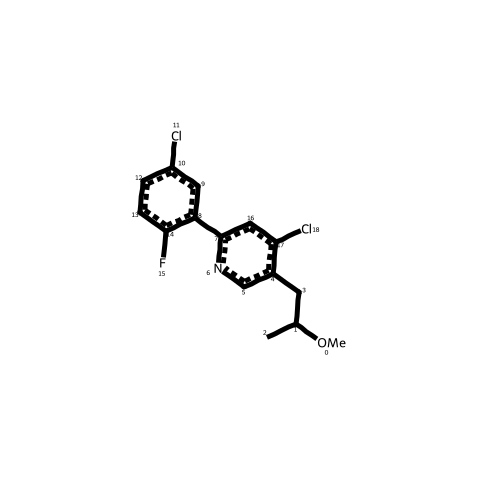 COC(C)Cc1cnc(-c2cc(Cl)ccc2F)cc1Cl